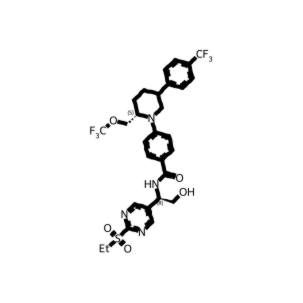 CCS(=O)(=O)c1ncc([C@H](CO)NC(=O)c2ccc(N3CC(c4ccc(C(F)(F)F)cc4)CC[C@H]3COC(F)(F)F)cc2)cn1